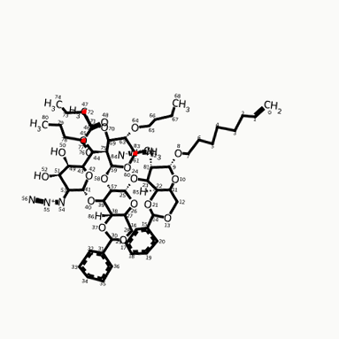 C=CCCCCCCO[C@@H]1OC2COC(c3ccccc3)O[C@H]2C(O[C@@H]2OC3COC(c4ccccc4)O[C@@H]3C(O[C@H]3OC(COC(C)=O)[C@H](O)[C@H](O)C3N=[N+]=[N-])[C@@H]2O[C@@H]2OC(C)[C@@H](OCCCC)C(OCCCC)[C@@H]2OCCCC)[C@@H]1N=[N+]=[N-]